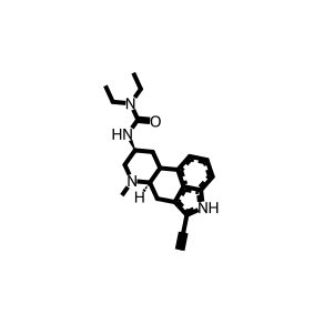 C#Cc1[nH]c2cccc3c2c1C[C@@H]1C3C[C@H](NC(=O)N(CC)CC)CN1C